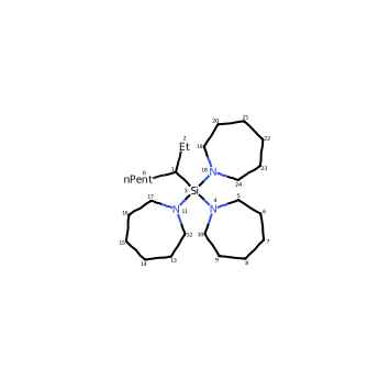 CCCCCC(CC)[Si](N1CCCCCC1)(N1CCCCCC1)N1CCCCCC1